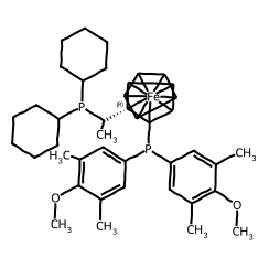 COc1c(C)cc(P(c2cc(C)c(OC)c(C)c2)[C]23[CH]4[CH]5[CH]6[C@@]2(C(C)P(C2CCCCC2)C2CCCCC2)[Fe]54632789[CH]3[CH]2[CH]7[CH]8[CH]39)cc1C